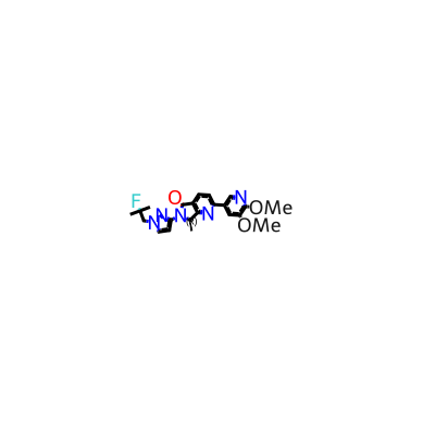 COc1cc(-c2ccc3c(n2)[C@@H](C)N(c2ccn(CC(C)(C)F)n2)C3=O)cnc1OC